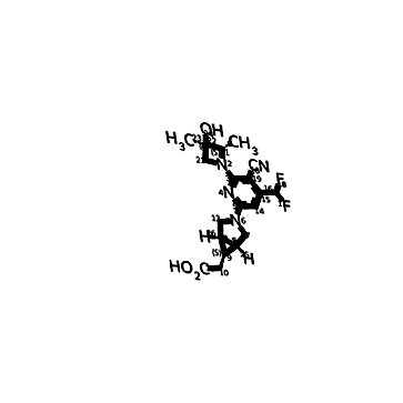 C[C@@H]1N(c2nc(N3C[C@@H]4[C@@H](CC(=O)O)[C@@H]4C3)cc(C(F)F)c2C#N)C[C@@]1(C)O